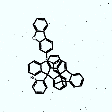 CC1(C)c2ccccc2-c2ccc(N(c3ccc4c(c3)oc3ccccc34)c3ccccc3C3(c4ccccc4Br)c4ccccc4-c4ccccc43)cc21